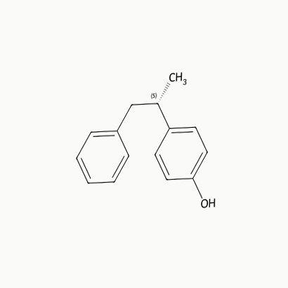 C[C@@H](Cc1ccccc1)c1ccc(O)cc1